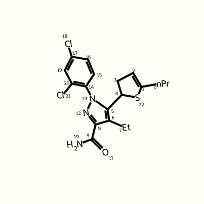 CCCC1=CCC(c2c(CC)c(C(N)=O)nn2-c2ccc(Cl)cc2Cl)S1